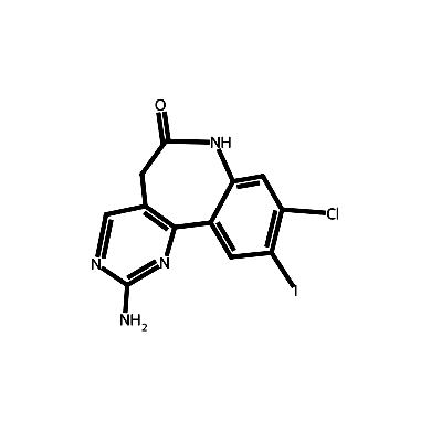 Nc1ncc2c(n1)-c1cc(I)c(Cl)cc1NC(=O)C2